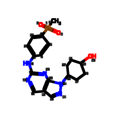 CS(=O)(=O)c1ccc(Nc2ncc3cnn(C4CCC(O)CC4)c3n2)cc1